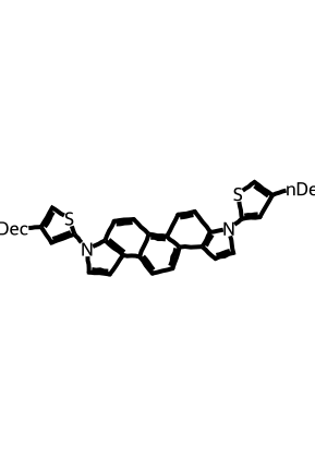 CCCCCCCCCCc1csc(-n2ccc3c4ccc5c(ccc6c5ccn6-c5cc(CCCCCCCCCC)cs5)c4ccc32)c1